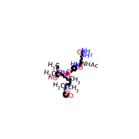 C/C=C/[C@@H]1O[C@H]([C@@H](/C=C/C=C(\C)C[C@@H](C)/C=C(C)\C=C\[C@H]2CC=CC(=O)O2)NC(=O)OCc2ccc(NC(=O)[C@H](CCCNC(N)=O)NC(C)=O)cc2)C[C@@H](O)[C@@H]1C